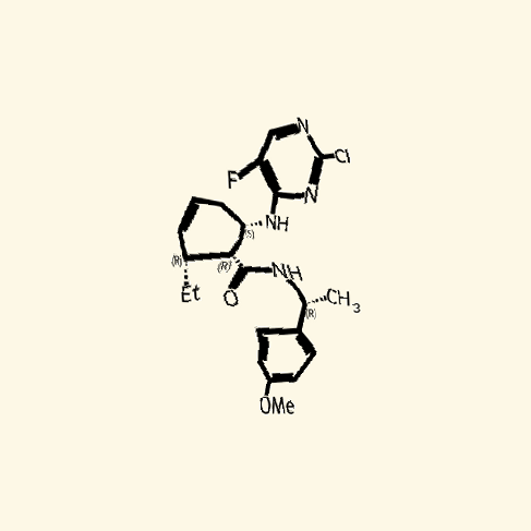 CC[C@@H]1C=CC[C@H](Nc2nc(Cl)ncc2F)[C@@H]1C(=O)N[C@H](C)c1ccc(OC)cc1